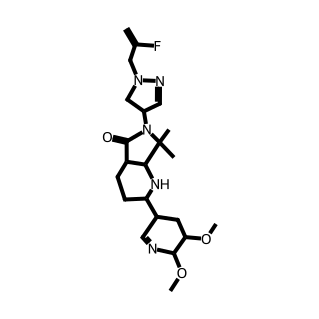 C=C(F)CN1CC(N2C(=O)C3CCC(C4C=NC(OC)C(OC)C4)NC3C2(C)C)C=N1